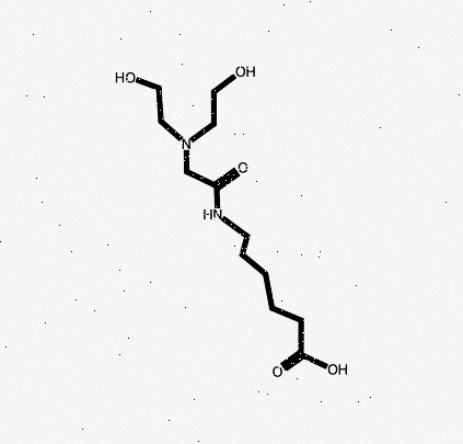 O=C(O)CCCCCNC(=O)CN(CCO)CCO